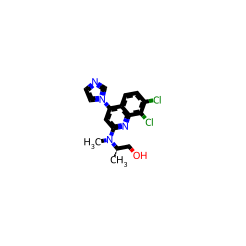 C[C@@H](CO)N(C)c1cc(-n2ccnc2)c2ccc(Cl)c(Cl)c2n1